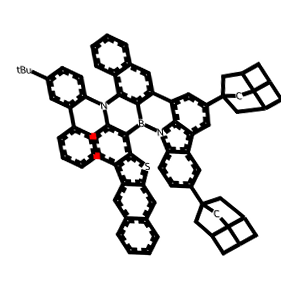 CC(C)(C)c1ccc(N2c3ccc4c(sc5cc6ccccc6cc54)c3B3c4c(cc5ccccc5c42)-c2cc(C45CC6CC7CC(C4)C76C5)cc4c5cc(C67CC8CC9CC(C6)C98C7)ccc5n3c24)c(-c2ccccc2)c1